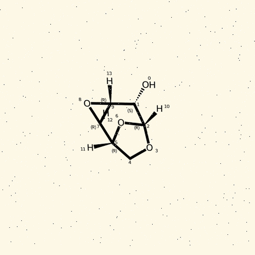 O[C@@H]1[C@@H]2OC[C@@H](O2)[C@H]2O[C@H]12